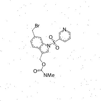 CNC(=O)OCc1cn(S(=O)(=O)c2cccnc2)c2cc(CBr)ccc12